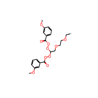 [CH2]COCCOC[C](OOC(=O)c1cccc(OC)c1)OOC(=O)c1cccc(OC)c1